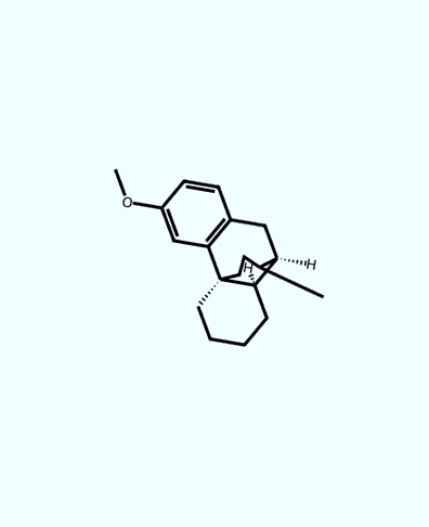 COc1ccc2c(c1)[C@]13CCCC[C@@H]1[C@H](C2)C(C)CC3